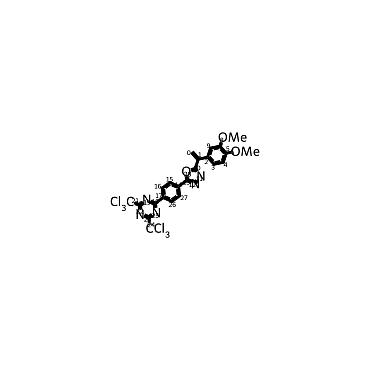 C=C(c1ccc(OC)c(OC)c1)c1nnc(-c2ccc(-c3nc(C(Cl)(Cl)Cl)nc(C(Cl)(Cl)Cl)n3)cc2)o1